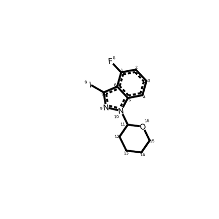 Fc1cccc2c1c(I)nn2C1CCCCO1